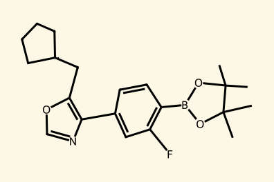 CC1(C)OB(c2ccc(-c3ncoc3C[C]3CCCC3)cc2F)OC1(C)C